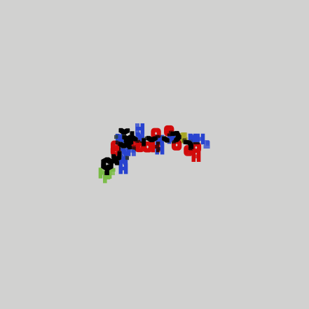 CN[C@H](C(=O)N[C@H](C(=O)N(C)[C@H](/C=C(\C)C(=O)N[C@H](CCC(=O)NCCN1C(=O)CC(SC[C@H](N)C(=O)O)C1=O)C(=O)O)C(C)C)C(C)(C)C)C(C)(C)c1cccc(C(F)(F)F)c1